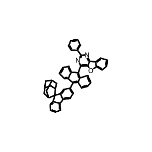 c1ccc(-c2nc(-c3c4ccccc4c(-c4ccc5c(c4)C4(c6ccccc6-5)C5CC6CC(C5)CC4C6)c4ccccc34)c3oc4ccccc4c3n2)cc1